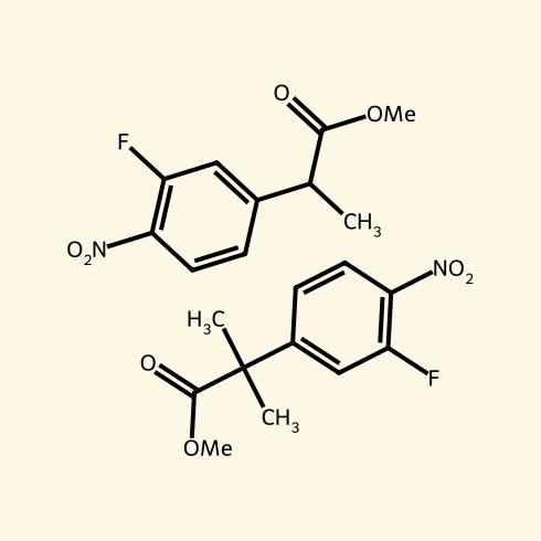 COC(=O)C(C)(C)c1ccc([N+](=O)[O-])c(F)c1.COC(=O)C(C)c1ccc([N+](=O)[O-])c(F)c1